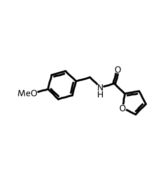 COc1ccc(CNC(=O)c2ccco2)cc1